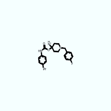 CC(C)c1ccc(NC(=O)OC2(N)CCN(Cc3ccc(F)cc3)CC2)cc1